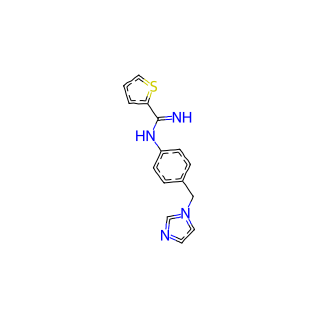 N=C(Nc1ccc(Cn2ccnc2)cc1)c1cccs1